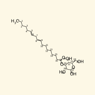 CCCCCC=CCC=CCCCCCCCC(=O)O[C@H]1[C@H](O)[C@@H](CO)OC(O)[C@@H]1O